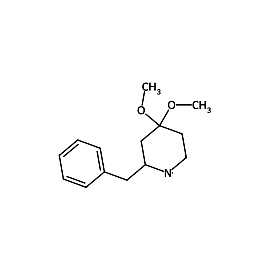 COC1(OC)CC[N]C(Cc2ccccc2)C1